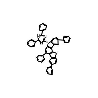 c1ccc(-c2ccc3sc4c(c(-c5ccccc5)cc5c4c4cc(-c6ccccc6)ccc4n5-c4nc(-c5ccccc5)nc(-c5ccccc5)n4)c3c2)cc1